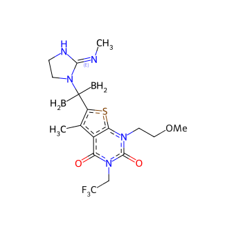 BC(B)(c1sc2c(c1C)c(=O)n(CC(F)(F)F)c(=O)n2CCOC)N1CCN/C1=N\C